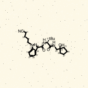 CC(C)(C)[C@H](NC(=O)c1nn(CCCCC#N)c2ccccc12)C(=O)NCC1(O)CCCC1